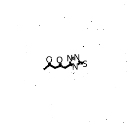 CC(=O)CC(=O)CC1=NC(=S)N=N1